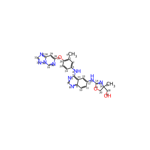 Cc1cc(Nc2ncnc3ccc(NC4=NC(C)(CO)CO4)cc23)ccc1Oc1cc2ncnn2cn1